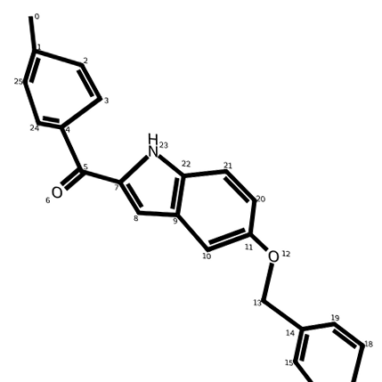 Cc1ccc(C(=O)c2cc3cc(OCc4ccccc4)ccc3[nH]2)cc1